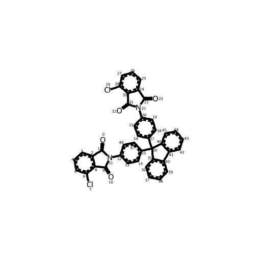 O=C1c2cccc(Cl)c2C(=O)N1c1ccc(C2(c3ccc(N4C(=O)c5cccc(Cl)c5C4=O)cc3)c3ccccc3-c3ccccc32)cc1